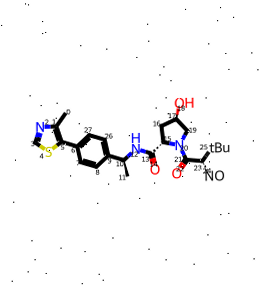 Cc1ncsc1-c1ccc([C@H](C)NC(=O)[C@@H]2C[C@@H](O)CN2C(=O)[C@@H](N=O)C(C)(C)C)cc1